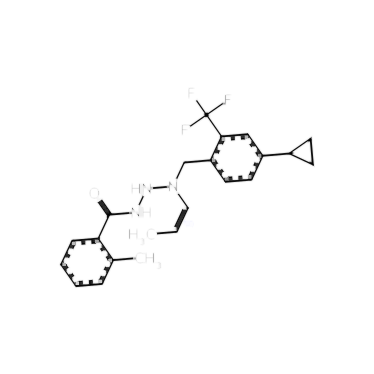 C/C=C\N(Cc1ccc(C2CC2)cc1C(F)(F)F)NNC(=O)c1ccccc1C